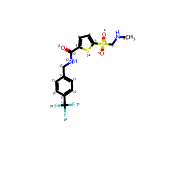 CNCS(=O)(=O)c1ccc(C(=O)NCc2ccc(C(F)(F)F)cc2)s1